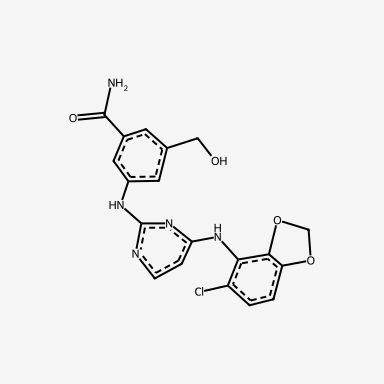 NC(=O)c1cc(CO)cc(Nc2nccc(Nc3c(Cl)ccc4c3OCO4)n2)c1